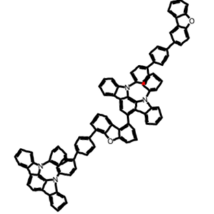 c1ccc(-n2c3ccccc3c3ccc4c5ccccc5n(-c5ccc(-c6ccc(-c7cccc8c7oc7cccc(-c9cc%10c%11ccccc%11n(-c%11ccc(-c%12ccc(-c%13ccc%14oc%15ccccc%15c%14c%13)cc%12)cc%11)c%10c%10c9c9ccccc9n%10-c9ccccc9)c78)cc6)cc5)c4c32)cc1